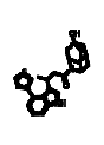 CC(CC(=O)N1C2CC3CC1CC(O)(C3)C2)c1c[nH]c2cccc(-c3ccsc3)c12